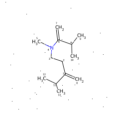 C=C(CCN(C)C(=C)C(C)C)C(C)C